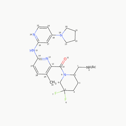 CC(=O)NCC1CCC(F)(F)CN1C(=O)c1nc(Nc2cc(N3CCCC3)ccn2)ccc1C